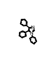 c1ccc(-c2ncn(-c3ccccc3)c2-c2ccccc2)cc1